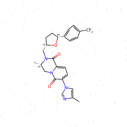 Cc1cn(-c2ccc3n(c2=O)C[C@H](C)N(C[C@@H]2CC[C@H](c4ccc(C(F)(F)F)cc4)O2)C3=O)cn1